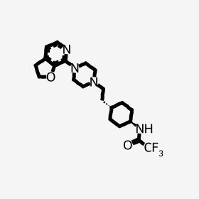 O=C(N[C@H]1CC[C@H](CCN2CCN(c3nccc4c3OCC4)CC2)CC1)C(F)(F)F